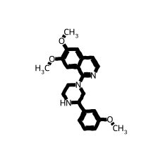 COc1cccc(C2CN(c3nccc4cc(OC)c(OC)cc34)CCN2)c1